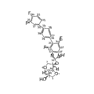 O[C@@H]1CO[C@H]2[C@@H]1OC[C@H]2Oc1nc2c(F)c(-c3ccc(-c4ccc(F)c(F)c4)cc3)c(F)cc2[nH]1